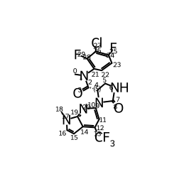 CN(C(=O)[C@@H]1CNC(=O)N1c1cc(C(F)(F)F)c2ccn(C)c2n1)c1ccc(F)c(Cl)c1F